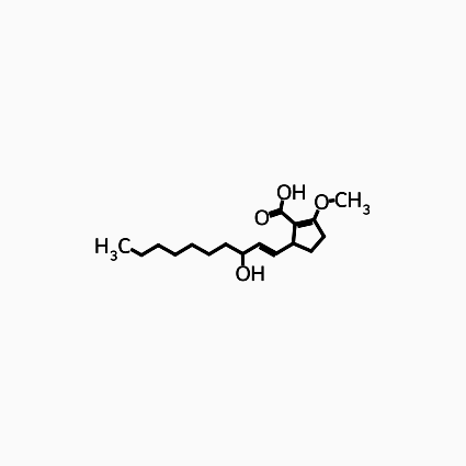 CCCCCCCC(O)C=CC1CCC(OC)=C1C(=O)O